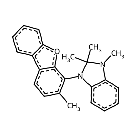 Cc1ccc2c(oc3ccccc32)c1N1c2ccccc2N(C)C1(C)C